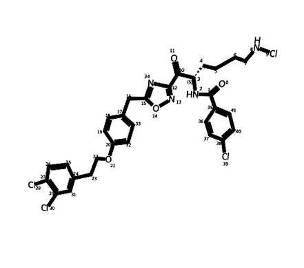 O=C(N[C@@H](CCCCNCl)C(=O)c1noc(Cc2ccc(OCCc3ccc(Cl)c(Cl)c3)cc2)n1)c1ccc(Cl)cc1